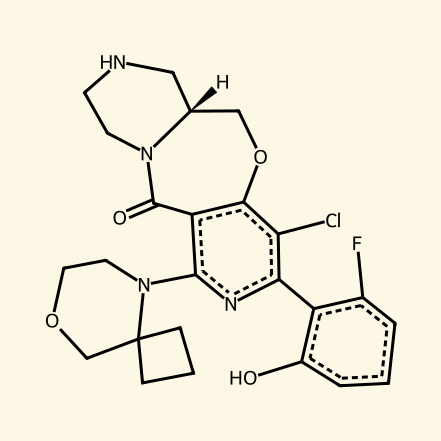 O=C1c2c(N3CCOCC34CCC4)nc(-c3c(O)cccc3F)c(Cl)c2OC[C@H]2CNCCN12